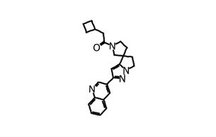 O=C(CC1CCC1)N1CCC2(CCn3nc(-c4cnc5ccccc5c4)cc32)C1